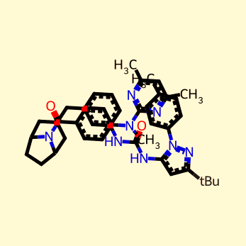 Cc1ccc(-n2nc(C(C)(C)C)cc2NC(=O)Nc2cccc(CC3CC4CCC(C3)N4C(=O)c3ccc(N(C)c4nc(C)cc(C)n4)cc3)c2)cc1